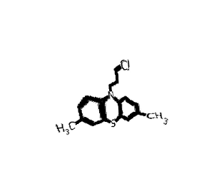 Cc1ccc2c(c1)Sc1cc(C)ccc1N2CCCCl